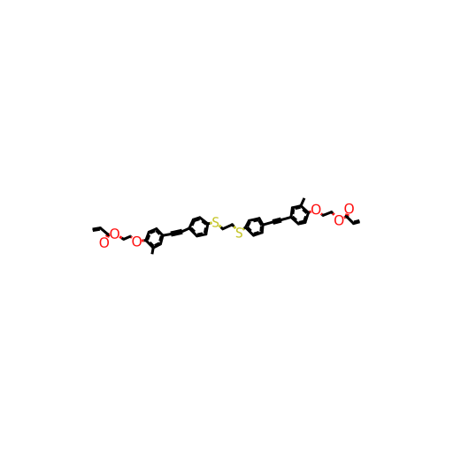 C=CC(=O)OCCOc1ccc(C#Cc2ccc(SCCSc3ccc(C#Cc4ccc(OCCOC(=O)C=C)c(C)c4)cc3)cc2)cc1C